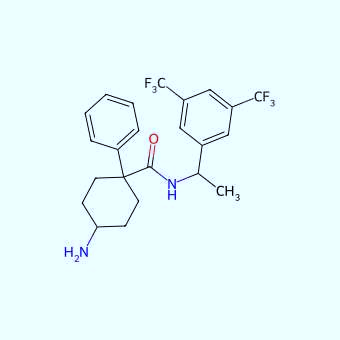 CC(NC(=O)C1(c2ccccc2)CCC(N)CC1)c1cc(C(F)(F)F)cc(C(F)(F)F)c1